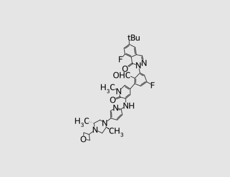 C[C@@H]1CN(c2ccc(Nc3cc(-c4cc(F)cc(-n5ncc6cc(C(C)(C)C)cc(F)c6c5=O)c4C=O)cn(C)c3=O)nc2)[C@@H](C)CN1C1COC1